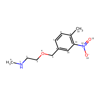 CNCCOCc1ccc(C)c([N+](=O)[O-])c1